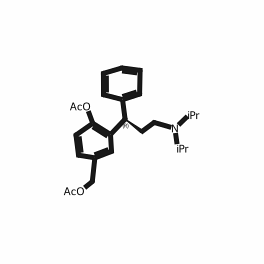 CC(=O)OCc1ccc(OC(C)=O)c([C@H](CCN(C(C)C)C(C)C)c2ccccc2)c1